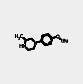 CC1CN(c2ccc(OC(C)(C)C)cc2)CCN1